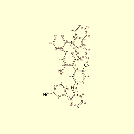 N#Cc1ccc2c(c1)c1ccccc1n2-c1ccc(C#N)c(-c2ccc(-c3ccccc3-n3c4ccccc4c4ccccc43)cc2C#N)c1